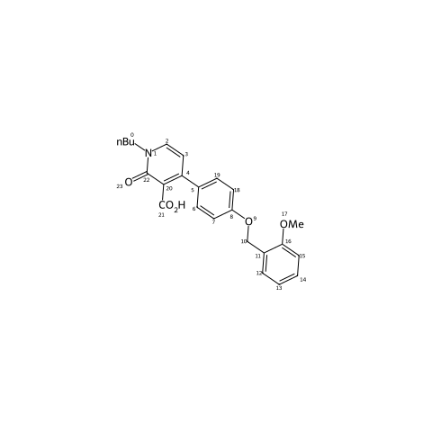 CCCCn1ccc(-c2ccc(OCc3ccccc3OC)cc2)c(C(=O)O)c1=O